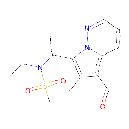 CCN(C(C)c1c(C)c(C=O)c2cccnn12)S(C)(=O)=O